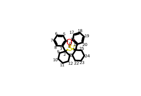 [O-][S+](C1(c2ccccc2)CCCCC1)C1(c2ccccc2)CCCCC1